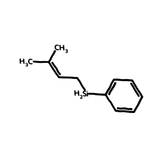 CC(C)=CC[SiH2]c1ccccc1